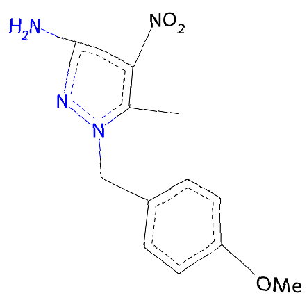 COc1ccc(Cn2nc(N)c([N+](=O)[O-])c2C)cc1